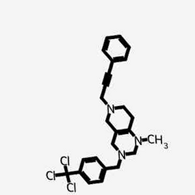 CN1CN(Cc2ccc(C(Cl)(Cl)Cl)cc2)CC2=C1CCN(CC#Cc1ccccc1)C2